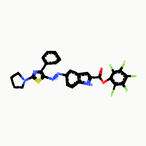 O=C(Oc1c(F)c(F)c(F)c(F)c1F)c1cc2cc(/N=N/c3sc(N4CCCC4)nc3-c3ccccc3)ccc2[nH]1